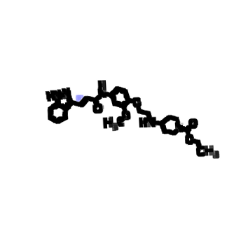 CCOC(=O)N1CCC(NCCOc2ccc(NC(=O)/C=C/c3n[nH]c4ccccc34)cc2OC)CC1